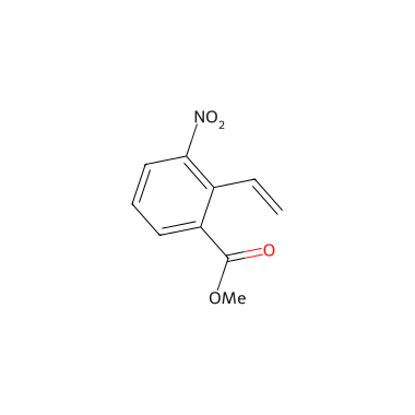 C=Cc1c(C(=O)OC)cccc1[N+](=O)[O-]